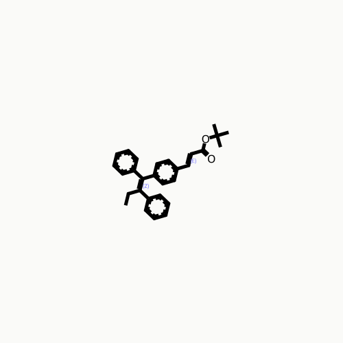 CC/C(=C(\c1ccccc1)c1ccc(/C=C/C(=O)OC(C)(C)C)cc1)c1ccccc1